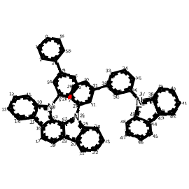 c1ccc(-c2cccc(-n3c4ccccc4c4ccc5c6ccccc6n(-c6cccc(-c7cccc(-n8c9ccccc9c9ccccc98)c7)c6)c5c43)c2)cc1